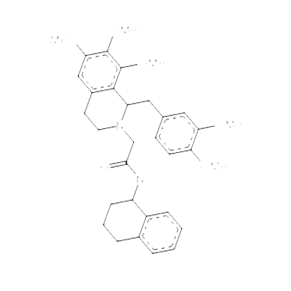 COc1ccc(CC2c3c(cc(OC)c(OC)c3OC)CCN2CC(=O)NC2CCCc3ccccc32)cc1OC